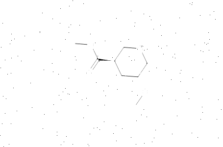 COC(=O)[C@H]1COC[C@H](OC)C1